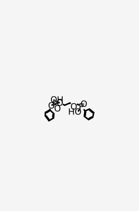 O=P(O)(OCCOCP(=O)(O)c1ccccc1)Oc1ccccc1